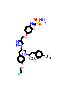 NS(=O)(=O)c1nc2ccc(OCc3cn([C@@H](CN[C@@H](Cc4ccc(C(F)(F)F)cc4)C(=O)O)Cc4ccc(OCCF)cc4)nn3)cc2s1